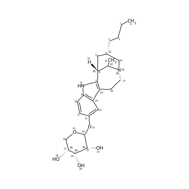 CCCC[C@H]1C[C@H]2c3[nH]c4ccc(OC5OC[C@@H](O)[C@@H](O)[C@H]5O)cc4c3CC[N@@](C1)C2C